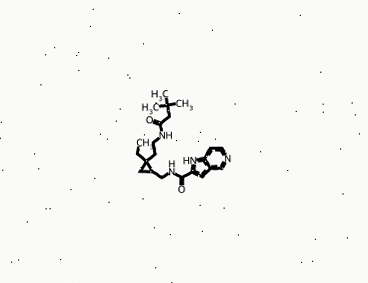 CCC1(CCNC(=O)CC(C)(C)C)CC1CNC(=O)c1cc2cnccc2[nH]1